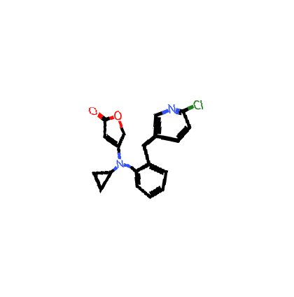 O=C1C=C(N(c2ccccc2Cc2ccc(Cl)nc2)C2CC2)CO1